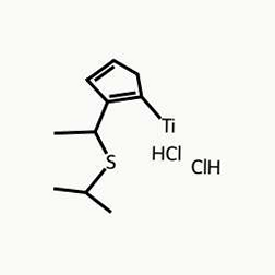 CC(C)SC(C)C1=[C]([Ti])CC=C1.Cl.Cl